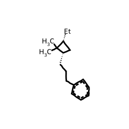 CC[C@@H]1C[C@H](CCCc2ccccc2)C1(C)C